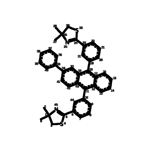 CC1(C)CSC(c2cccc(-c3c4ccccc4c(-c4cccc(C5=NC(C)(C)CS5)c4)c4cc(-c5ccccc5)ccc34)c2)=N1